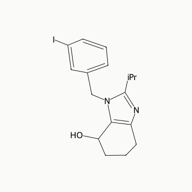 CC(C)c1nc2c(n1Cc1cccc(I)c1)C(O)CCC2